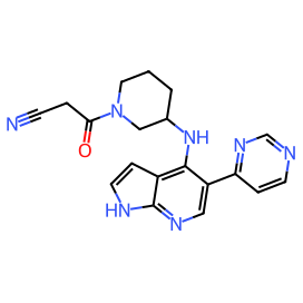 N#CCC(=O)N1CCCC(Nc2c(-c3ccncn3)cnc3[nH]ccc23)C1